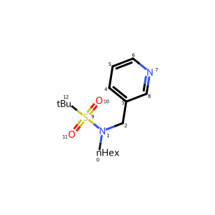 CCCCCCN(Cc1cccnc1)S(=O)(=O)C(C)(C)C